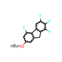 CCCCOc1cc(F)c2c(c1)Cc1c-2cc(F)c(F)c1F